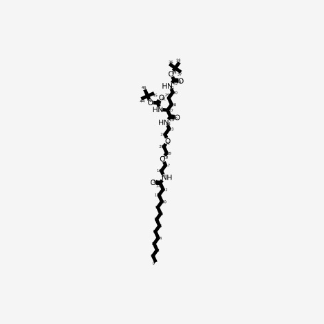 CCCCCCCCCCCCCC(=O)NCCOCCOCCNC(=O)C(CCCNC(=O)OC(C)(C)C)NC(=O)OC(C)(C)C